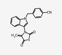 C=C1C(=O)SC(=O)N1c1cn(Cc2ccc(C#N)cc2)c2ccccc12